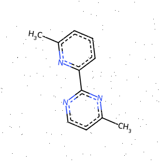 Cc1cccc(-c2nccc(C)n2)n1